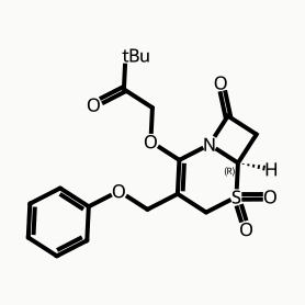 CC(C)(C)C(=O)COC1=C(COc2ccccc2)CS(=O)(=O)[C@@H]2CC(=O)N12